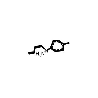 C=C/C=C\N(N)c1ccc(C)cc1